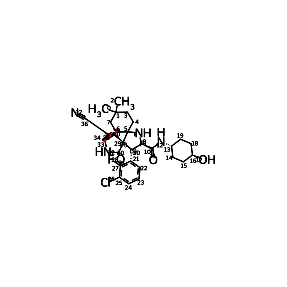 CC1(C)CCC2(CC1)N[C@@H](C(=O)N[C@H]1CC[C@H](O)CC1)[C@H](c1cccc(Cl)c1F)[C@]21C(=O)Nc2cc(C#N)ccc21